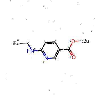 CCC(C)CNc1ccc(C(=O)OC(C)(C)C)cn1